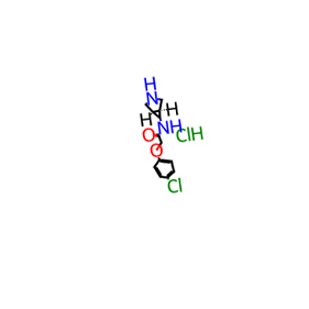 Cl.O=C(COc1ccc(Cl)cc1)NC1[C@H]2CNC[C@@H]12